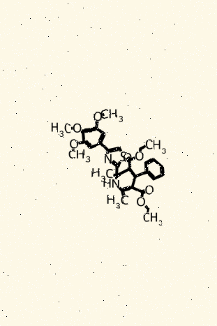 CCOC(=O)C1=C(C)NC(C)(c2nc(-c3cc(OC)c(OC)c(OC)c3)cs2)C(C(=O)OCC)C1c1ccccc1